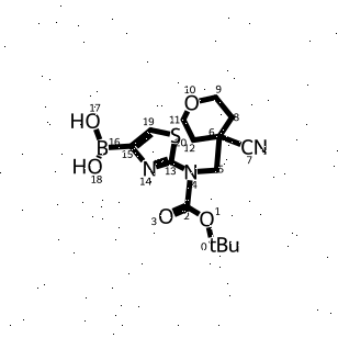 CC(C)(C)OC(=O)N(CC1(C#N)CCOCC1)c1nc(B(O)O)cs1